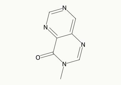 Cn1cnc2cncnc2c1=O